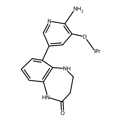 CC(C)Oc1cc(-c2cccc3c2NCCC(=O)N3)cnc1N